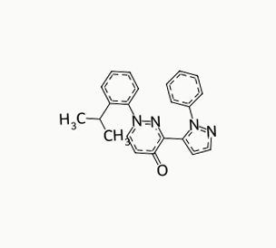 CC(C)c1ccccc1-n1ccc(=O)c(-c2ccnn2-c2ccccc2)n1